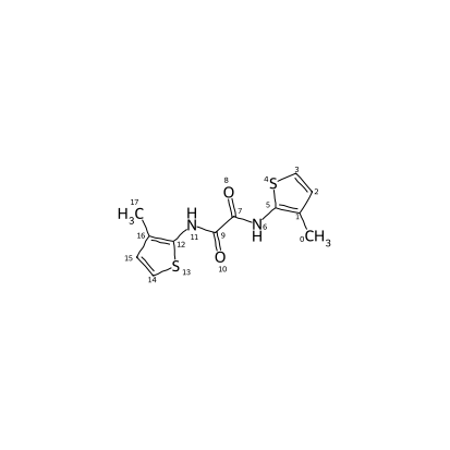 Cc1ccsc1NC(=O)C(=O)Nc1sccc1C